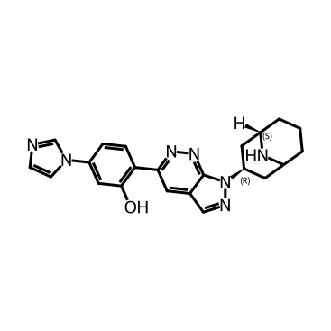 Oc1cc(-n2ccnc2)ccc1-c1cc2cnn([C@@H]3CC4CCC[C@@H](C3)N4)c2nn1